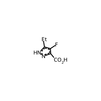 CCc1[nH]nc(C(=O)O)c1F